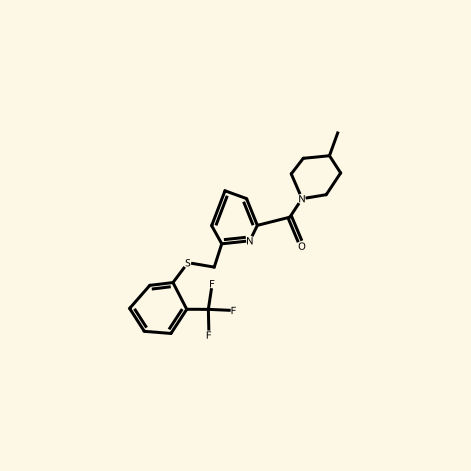 CC1CCN(C(=O)c2cccc(CSc3ccccc3C(F)(F)F)n2)CC1